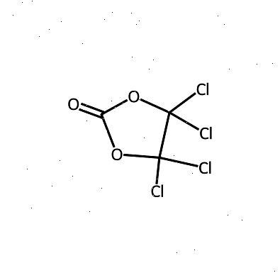 O=C1OC(Cl)(Cl)C(Cl)(Cl)O1